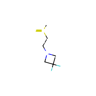 CS(=S)CCN1CC(F)(F)C1